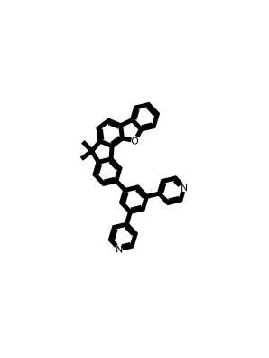 CC1(C)c2ccc(-c3cc(-c4ccncc4)cc(-c4ccncc4)c3)cc2-c2c1ccc1c2oc2ccccc21